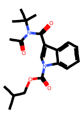 CC(=O)N(C(=O)c1cn(C(=O)OCC(C)C)c2ccccc12)C(C)(C)C